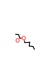 C[CH]C(=O)OCCCCC